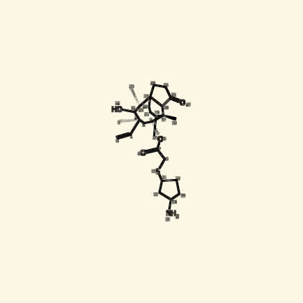 C=C[C@]1(C)C[C@@H](OC(=O)CSC2CCC(N)C2)[C@]2(C)C(C)CCC3(CCC(=O)C32)[C@@H](C)C1O